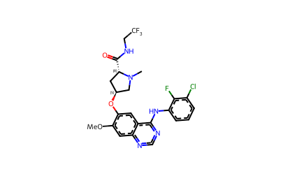 COc1cc2ncnc(Nc3cccc(Cl)c3F)c2cc1O[C@H]1C[C@H](C(=O)NCC(F)(F)F)N(C)C1